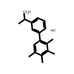 CCOC(=O)C(C)c1cccc(-c2cc(C)c(C)c(C)c2C)c1.Cl